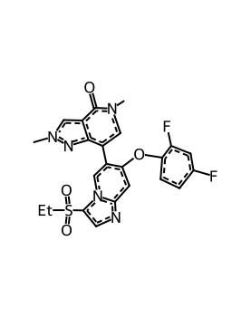 CCS(=O)(=O)c1cnc2cc(Oc3ccc(F)cc3F)c(-c3cn(C)c(=O)c4cn(C)nc34)cn12